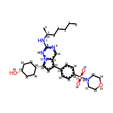 CCCCC[C@H](C)Nc1ncc2c(-c3ccc(S(=O)(=O)N4CCOCC4)cc3)cc([C@H]3CC[C@@H](O)CC3)n2n1